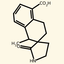 CC1c2cccc(C(=O)O)c2CCC12CCNC2=O